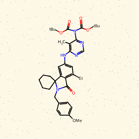 CCc1cc(Nc2ncnc(N(C(=O)OC(C)(C)C)C(=O)OC(C)(C)C)c2C)cc2c1C(=O)N(Cc1ccc(OC)cc1)C21CCCCC1